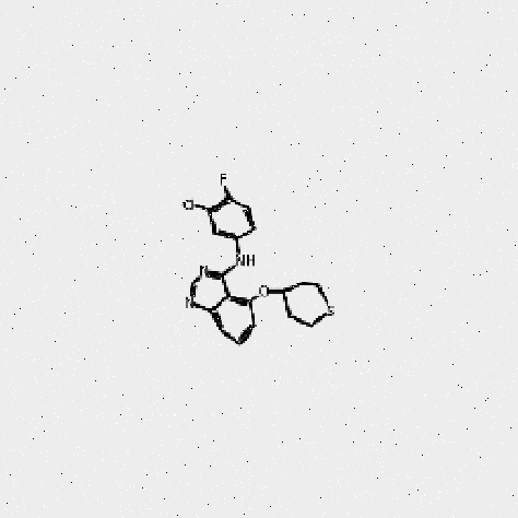 Fc1ccc(Nc2ncnc3cccc(OC4CCSCC4)c23)cc1Cl